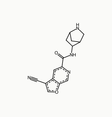 N#Cc1coc2cnc(C(=O)NC3CC4CC3CN4)cc12